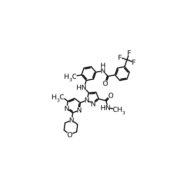 CNC(=O)c1cc(Nc2cc(NC(=O)c3cccc(C(F)(F)F)c3)ccc2C)n(-c2cc(C)nc(N3CCOCC3)n2)n1